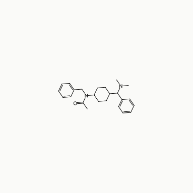 CC(=O)N(Cc1ccccc1)C1CCC(C(c2ccccc2)N(C)C)CC1